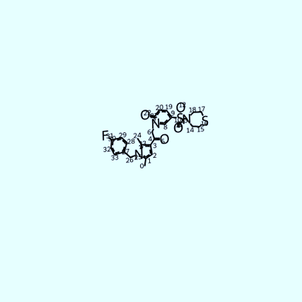 Cc1cc(C(=O)Cn2cc(S(=O)(=O)N3CCSCC3)ccc2=O)c(C)n1Cc1ccc(F)cc1